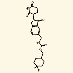 O=C1CCC(N2Cc3ccc(CNC(=O)OCC4CCC(F)(F)CC4)cc3C2=O)C(=O)N1